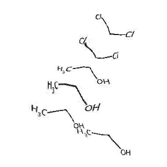 CCO.CCO.CCO.CCO.ClCCl.ClCCl